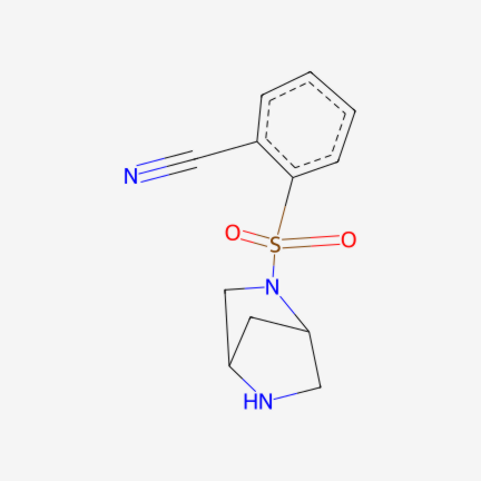 N#Cc1ccccc1S(=O)(=O)N1CC2CC1CN2